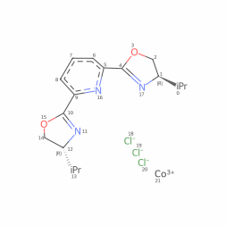 CC(C)[C@@H]1COC(c2cccc(C3=N[C@H](C(C)C)CO3)n2)=N1.[Cl-].[Cl-].[Cl-].[Co+3]